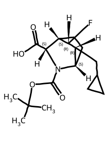 CC(C)(C)OC(=O)N1[C@H](C(=O)O)[C@@H]2CC[C@H]1[C@@H](CC1CC1)[C@H]2F